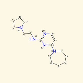 c1cc(N2CCCCCC2)nc(NCCN2CCCC2)n1